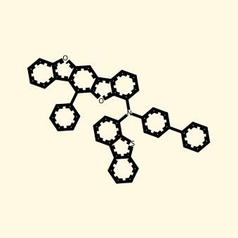 c1ccc(-c2ccc(N(c3cccc4c3oc3c(-c5ccccc5)c5c(cc34)oc3ccccc35)c3cccc4c3sc3ccccc34)cc2)cc1